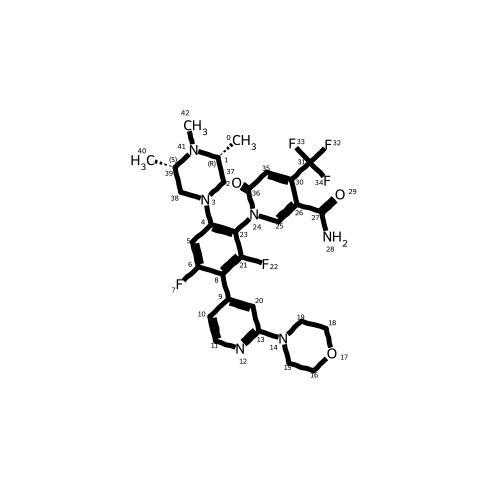 C[C@@H]1CN(c2cc(F)c(-c3ccnc(N4CCOCC4)c3)c(F)c2-n2cc(C(N)=O)c(C(F)(F)F)cc2=O)C[C@H](C)N1C